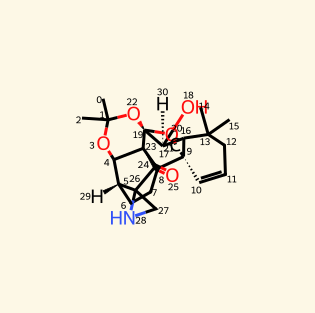 CC1(C)OC2[C@H]3CCC4[C@]56C=CCC(C)(C)C5[C@H](O)[C@](OC6)(O1)[C@@]24C(=O)C31CN1